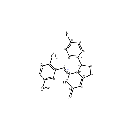 COc1cnc(C)c(/N=c2\[nH]c(=O)cc3n2C(c2ccc(F)cc2)CC3)c1